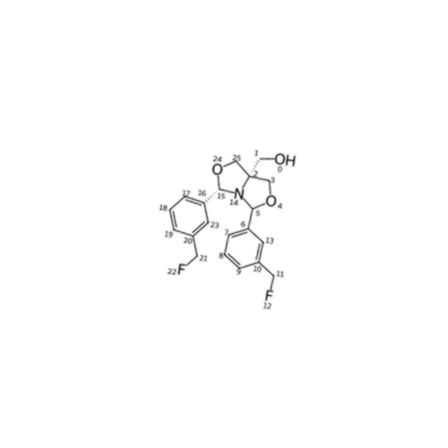 OC[C@]12COC(c3cccc(CF)c3)N1[C@H](c1cccc(CF)c1)OC2